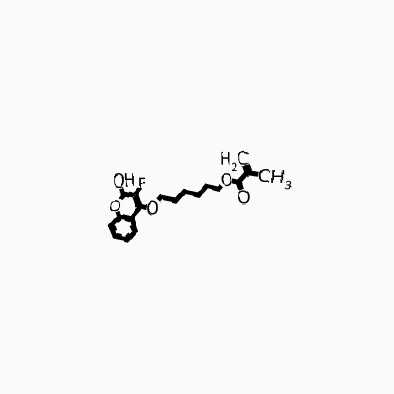 C=C(C)C(=O)OCCCCCCOC1=C(F)C(O)Oc2ccccc21